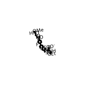 CCC(=O)N[C@@H]1C(=O)N2C(C(=O)[O-])=C(C[n+]3ccc(-c4ccc(-n5cc(CC(=O)NOC)oc5=O)cc4F)cc3)CS[C@@H]12